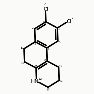 Clc1cc2c(cc1Cl)C1=C(CC2)NCCC1